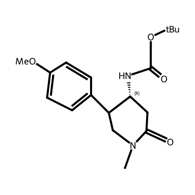 COc1ccc(C2CN(C)C(=O)C[C@H]2NC(=O)OC(C)(C)C)cc1